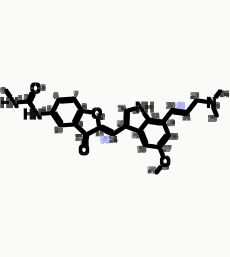 CNC(=O)Nc1ccc2c(c1)C(=O)/C(=C/c1c[nH]c3c(/C=C/CN(C)C)cc(OC)cc13)O2